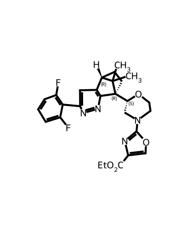 CCOC(=O)c1coc(N2CCO[C@@H]([C@@]34CC[C@@H](c5cc(-c6c(F)cccc6F)nnc53)C4(C)C)C2)n1